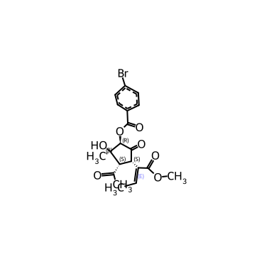 C/C=C(/C(=O)OC)[C@H]1C(=O)[C@H](OC(=O)c2ccc(Br)cc2)[C@](C)(O)[C@H]1C(C)=O